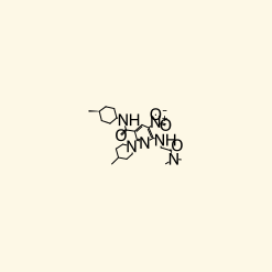 CC1CCN(c2nc(NCC(=O)N(C)C)c([N+](=O)[O-])cc2C(=O)N[C@H]2CC[C@H](C)CC2)CC1